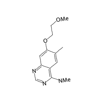 CNc1ncnc2cc(OCCOC)c(C)cc12